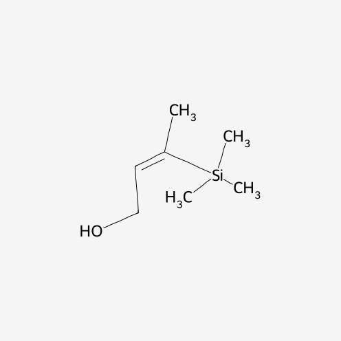 CC(=CCO)[Si](C)(C)C